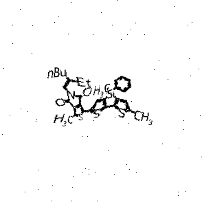 CCCCC(CC)CN1C(=O)c2c(C)sc(-c3cc4c(s3)-c3sc(C)cc3[Si]4(C)c3ccccc3)c2C1=O